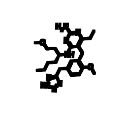 CCCC[C@@H](CCOC)Nc1nc(N)nc(CC)c1Cc1cc(Cc2nn[nH]n2)ccc1OC